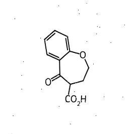 O=C(O)C1CCOc2ccccc2C1=O